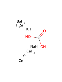 O=C(O)O.[BaH2].[CaH2].[Ce].[KH].[NaH].[SrH2].[Y]